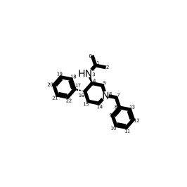 CC(C)N[C@H]1CN(Cc2ccccc2)CC[C@@H]1c1ccccc1